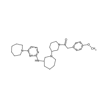 COc1ccc(CC(=O)N2CCCC(N3CCCCC(Nc4nccc(N5CCCCCC5)n4)C3)C2)cc1